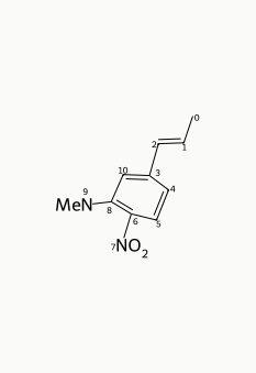 C/C=C/c1ccc([N+](=O)[O-])c(NC)c1